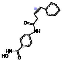 O=C(C/C=C\c1ccccc1)Nc1ccc(C(=O)NO)cc1